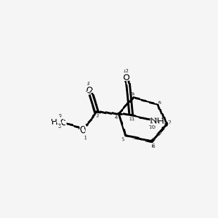 COC(=O)C12CCC(CC1)NC2=O